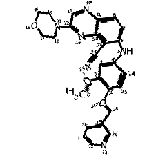 COc1cc(Nc2ccc3ncc(N4CCOCC4)nc3c2C#N)ccc1OCc1cccnc1